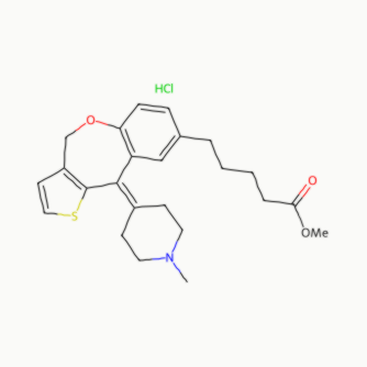 COC(=O)CCCCc1ccc2c(c1)C(=C1CCN(C)CC1)c1sccc1CO2.Cl